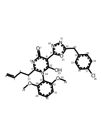 C=CCCc1nc(=O)c(-c2nnc(Cc3ccc(Cl)cc3)o2)c(O)n1-c1c(OC)cccc1OC